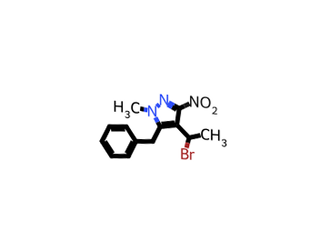 CC(Br)c1c([N+](=O)[O-])nn(C)c1Cc1ccccc1